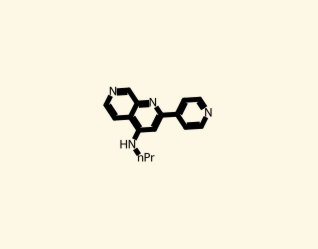 CCCNc1cc(-c2ccncc2)nc2cnccc12